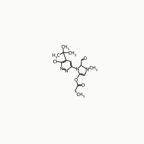 CCC(=O)OC1=CN(C)C(C=O)N1c1cc(C(C)(C)C)c(Cl)nn1